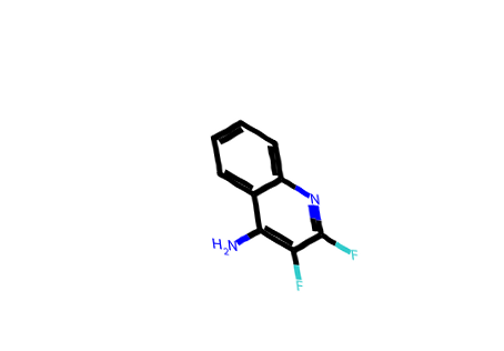 Nc1c(F)c(F)nc2ccccc12